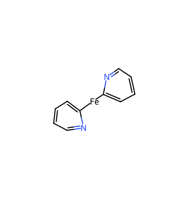 c1cc[c]([Fe][c]2ccccn2)nc1